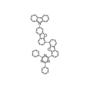 c1ccc(-c2nc(-c3ccccc3)nc(-c3cccc4c3oc3c(-c5cccc6c5oc5cc(-n7c8ccccc8c8ccccc87)ccc56)cccc34)n2)cc1